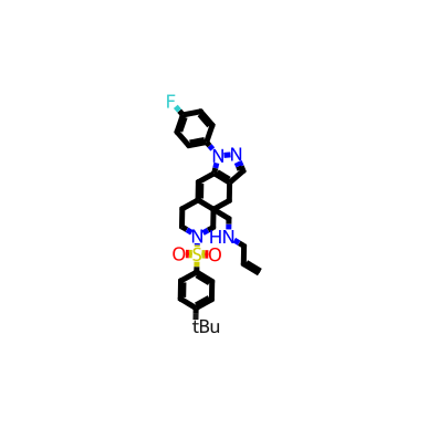 C=CCNCC12Cc3cnn(-c4ccc(F)cc4)c3C=C1CCN(S(=O)(=O)c1ccc(C(C)(C)C)cc1)C2